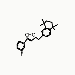 CC1(C)CCC(C)(C)c2cc(CC/C=C(\C=O)c3cccc(F)c3)ccc21